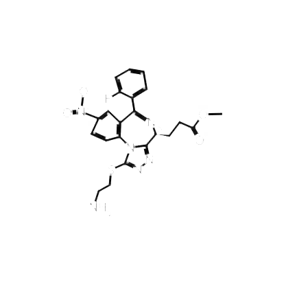 COC(=O)CC[C@@H]1N=C(c2ccccc2F)c2cc([N+](=O)[O-])ccc2-n2c(SCCN)nnc21